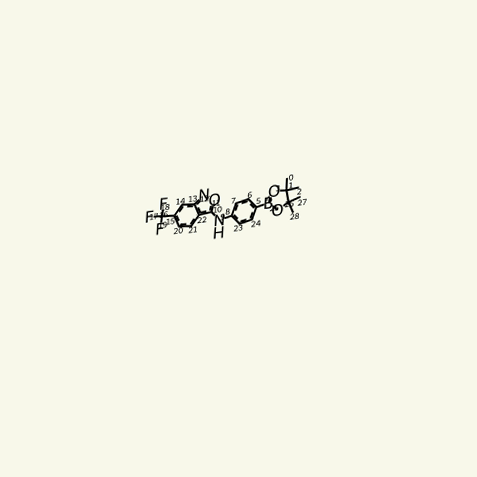 CC1(C)OB(c2ccc(Nc3onc4cc(C(F)(F)F)ccc34)cc2)OC1(C)C